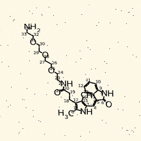 Cc1[nH]c(/C=C2/C(=O)Nc3ccccc32)c(C)c1CCC(=O)NCCOCCOCCOCCN